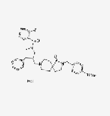 COc1ccc(CN2CCC3(CCN(CC4CN(C(=O)c5ccccc5F)CC4c4ccccc4)CC3)C2=O)cc1.Cl